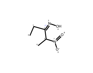 CC/C(=N/O)C(C)[N+](=O)[O-]